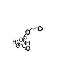 O=C(NC(Cc1ccccc1)C(=O)O)OCc1ccc(CCCc2ccccc2)cc1